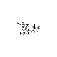 COc1cccc(C(C(=O)N=O)C(=O)OCC2=CC=C(Cl)NC2)c1